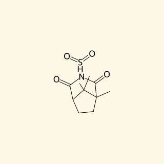 CC12CCC(C(=O)N([SH](=O)=O)C1=O)C2(C)C